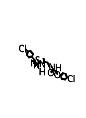 C=C(CCNC(=O)COc1ccc(Cl)cc1)Nc1nnc(-c2ccc(Cl)cc2)s1